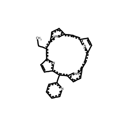 CCc1c2nc(c(-c3ccccn3)c3ccc(cc4nc(cc5ccc1[nH]5)C=C4)[nH]3)C=C2